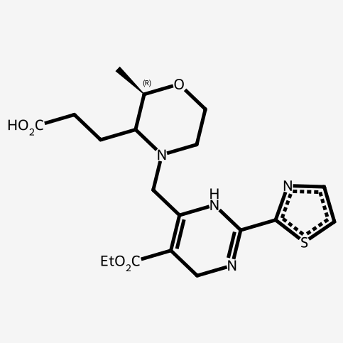 CCOC(=O)C1=C(CN2CCO[C@H](C)C2CCC(=O)O)NC(c2nccs2)=NC1